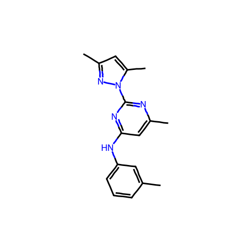 Cc1cccc(Nc2cc(C)nc(-n3nc(C)cc3C)n2)c1